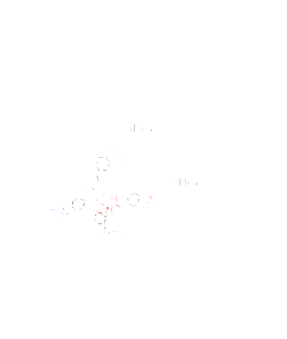 CCCCCCC1CCC(C(=O)Oc2ccc(C=CC(=O)CC(Cc3ccc(N)cc3)(Cc3ccc(N)cc3)C(O)(O)C(=O)C=Cc3ccc(OC(=O)C4CCC(CCCCCC)CC4)cc3)cc2)CC1